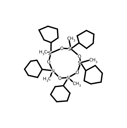 C[Si]1(C2CCCCC2)O[Si](C)(C2CCCCC2)O[Si](C)(C2CCCCC2)O[Si](C)(C2CCCCC2)O[Si](C)(C2CCCCC2)O1